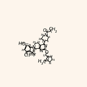 C=CC(=O)N1CCN(c2nc(OC[C@H]3CCCN3C)nc3c2CCN(c2cc(O)cc(Cl)c2C(F)(F)F)C3)CC1